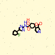 O=C1OC2(CCC(O)(C(=O)Nc3ncc(-c4ccccc4F)cn3)CC2)c2ccncc21